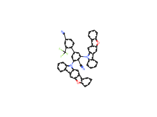 N#Cc1ccc(-c2cc(-n3c4ccccc4c4cc5oc6ccccc6c5cc43)c(C#N)c(-n3c4ccccc4c4cc5oc6ccccc6c5cc43)c2)c(C(F)(F)F)c1